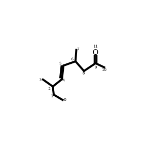 CCC(C)C=CC(C)CC(C)=O